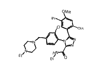 CCNC(=O)c1nnc(-c2cc(C(C)C)c(OC)cc2O)n1-c1ccc(CN2CCN(CC)CC2)cc1Cl